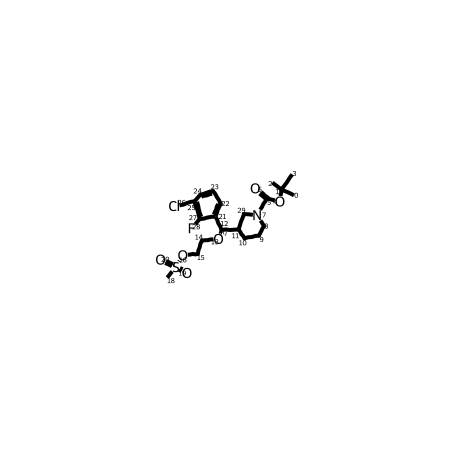 CC(C)(C)OC(=O)N1CCCC([C@@H](OCCOS(C)(=O)=O)c2cccc(Cl)c2F)C1